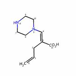 C=CCC(=CN1CCNCC1)C(=O)O